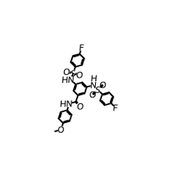 COc1ccc(NC(=O)c2cc(NS(=O)(=O)c3ccc(F)cc3)cc(NS(=O)(=O)c3ccc(F)cc3)c2)cc1